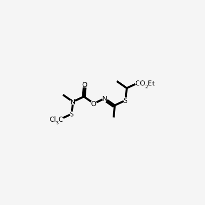 CCOC(=O)C(C)SC(C)=NOC(=O)N(C)SC(Cl)(Cl)Cl